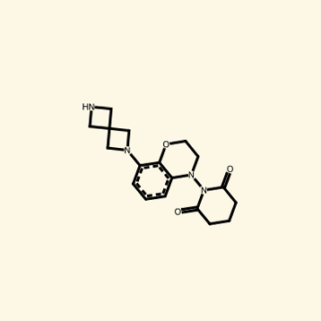 O=C1CCCC(=O)N1N1CCOc2c(N3CC4(CNC4)C3)cccc21